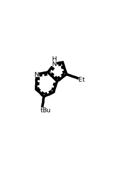 CCc1c[nH]c2ncc(C(C)(C)C)cc12